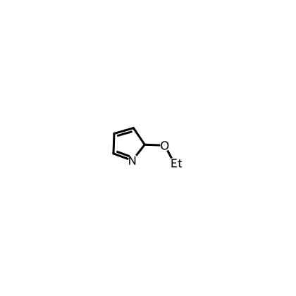 CCOC1C=CC=N1